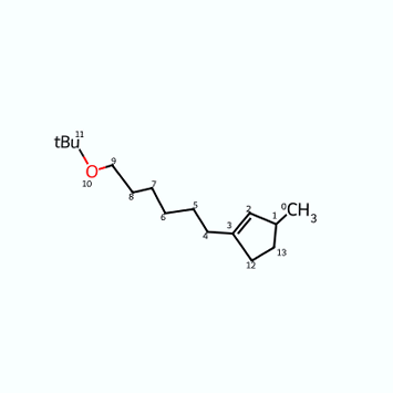 CC1C=C(CCCCCCOC(C)(C)C)CC1